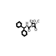 CCOC(=O)C1CC(=O)N1C(=O)NC(c1ccccc1)c1ccccc1